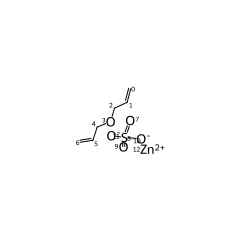 C=CCOCC=C.O=S(=O)([O-])[O-].[Zn+2]